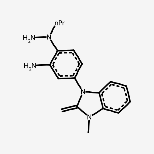 C=C1N(C)c2ccccc2N1c1ccc(N(N)CCC)c(N)c1